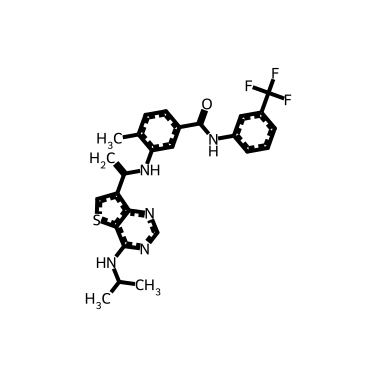 C=C(Nc1cc(C(=O)Nc2cccc(C(F)(F)F)c2)ccc1C)c1csc2c(NC(C)C)ncnc12